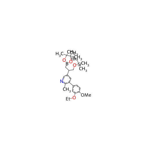 CCOc1cc(-c2cc(C(CO[Si](C)(C)C(C)(C)C)CB3OC(C)(C)C(C)(C)O3)cnc2C)ccc1OC